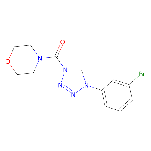 O=C(N1CCOCC1)N1CN(c2cccc(Br)c2)N=N1